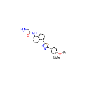 CNc1cc(-c2nnc(-c3cccc4c3CCC[C@H]4NC(=O)CN)s2)ccc1OC(C)C